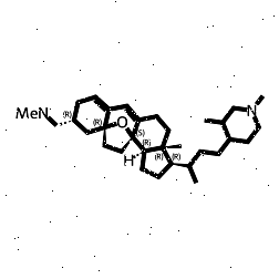 CNC[C@@H]1CC=C2C=C3CC[C@]4(C)[C@@H](C(C)CCC5CCN(C)CC5C)CC[C@H]4[C@@]34CC[C@]2(C1)O4